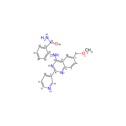 COCc1ccc2nc(-c3cccnc3)nc(Nc3ccccc3C(N)=O)c2c1